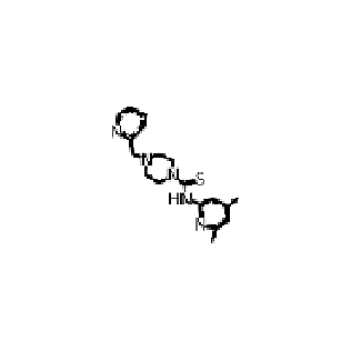 Cc1cc(C)nc(NC(=S)N2CCN(Cc3ccccn3)CC2)c1